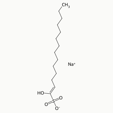 CCCCCCCCCCCC/C=C(\O)S(=O)(=O)[O-].[Na+]